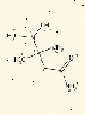 CN(C)C(C)(C)CC(N)=O